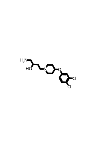 NCC(O)CCN1CCC(Oc2ccc(Cl)c(Cl)c2)CC1